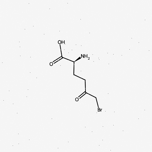 N[C@@H](CCC(=O)CBr)C(=O)O